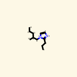 CCCc1nccn1CC(C)CCC